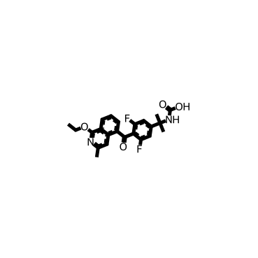 CCOc1nc(C)cc2c(C(=O)c3c(F)cc(C(C)(C)NC(=O)O)cc3F)cccc12